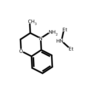 CC1COc2ccccc2N1N.CCNCC